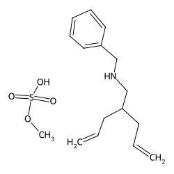 C=CCC(CC=C)CNCc1ccccc1.COS(=O)(=O)O